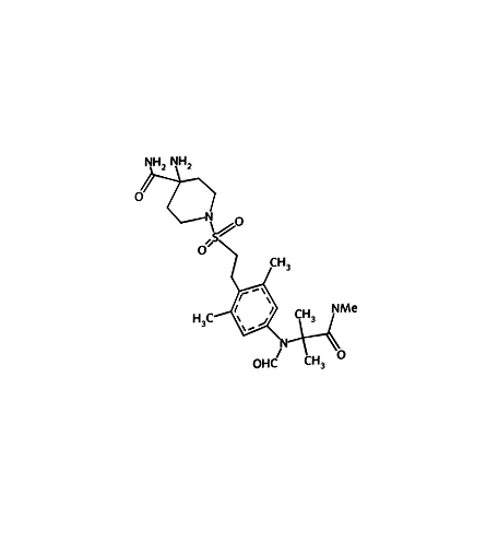 CNC(=O)C(C)(C)N(C=O)c1cc(C)c(CCS(=O)(=O)N2CCC(N)(C(N)=O)CC2)c(C)c1